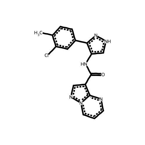 Cc1ccc(-c2n[nH]cc2NC(=O)c2cnn3cccnc23)cc1Cl